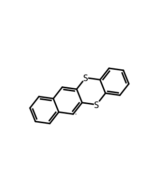 [c]1c2c(cc3ccccc13)Sc1ccccc1S2